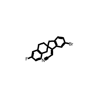 N#C/C=C1/c2cc(Br)ccc2CC12CCc1cc(F)ccc1C2